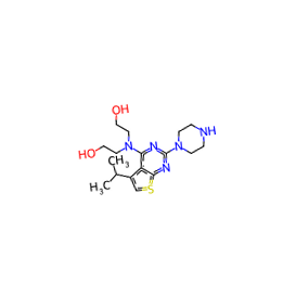 CC(C)c1csc2nc(N3CCNCC3)nc(N(CCO)CCO)c12